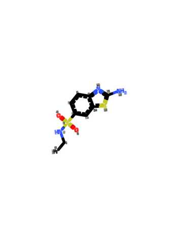 CC(C)CNS(=O)(=O)c1ccc2nc(N)sc2c1